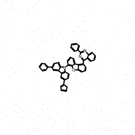 C1=CCC(c2ccc3c(c2)c2cc(-c4ccccc4)ccc2n3-c2cccc3c2oc2cccc(-c4nc(-c5ccccc5)nc5ccccc45)c23)=C1